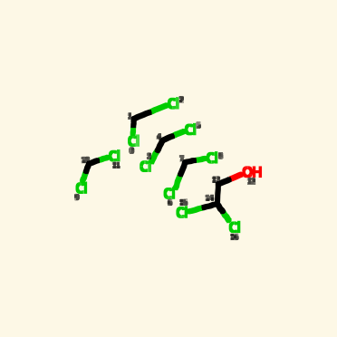 ClCCl.ClCCl.ClCCl.ClCCl.OCC(Cl)Cl